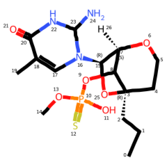 CCC[C@@]12CCO[C@@H](C1OP(O)(=S)OC)[C@H](N1C=C(C)C(=O)NC1N)O2